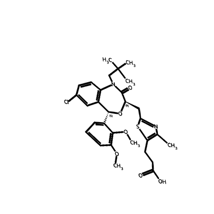 COc1cccc([C@H]2O[C@H](Cc3nc(C)c(CCC(=O)O)s3)C(=O)N(CC(C)(C)C)c3ccc(Cl)cc32)c1OC